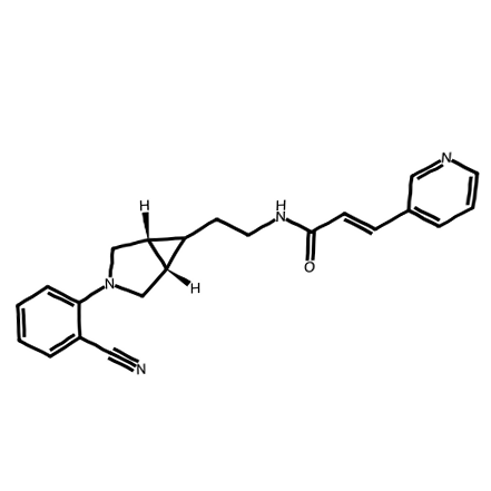 N#Cc1ccccc1N1C[C@@H]2C(CCNC(=O)/C=C/c3cccnc3)[C@@H]2C1